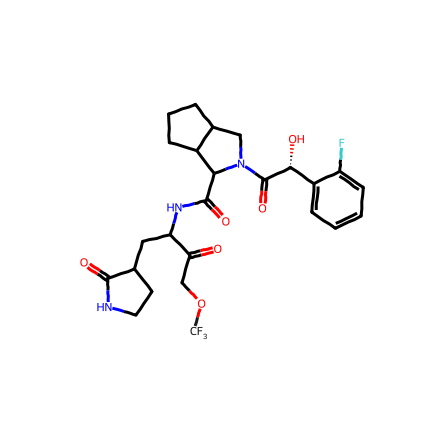 O=C1NCCC1CC(NC(=O)C1C2CCCC2CN1C(=O)[C@H](O)c1ccccc1F)C(=O)COC(F)(F)F